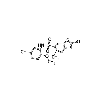 COc1ccc(Cl)cc1NS(=O)(=O)c1cc2sc(=O)sc2cc1C